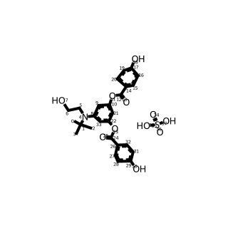 CC(C)(C)N(CCO)c1cc(OC(=O)c2ccc(O)cc2)cc(OC(=O)c2ccc(O)cc2)c1.O=S(=O)(O)O